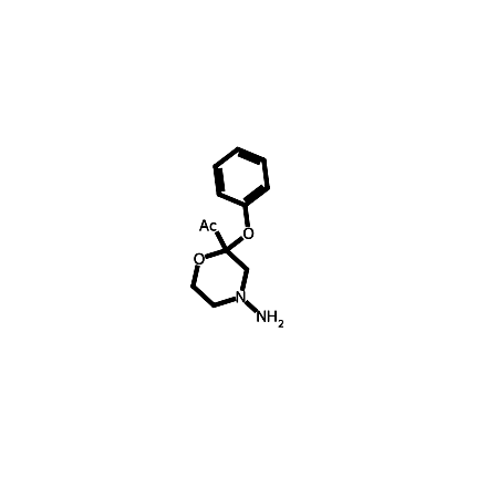 CC(=O)C1(Oc2ccccc2)CN(N)CCO1